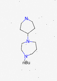 CCCCN1CCCN(C2CC[N]CC2)CC1